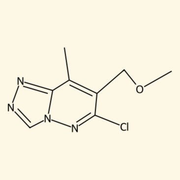 COCc1c(Cl)nn2cnnc2c1C